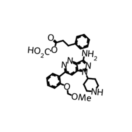 COCOc1ccccc1-c1cc2c(nn1)c(N)nn2C1CCNCC1.O=C(O)OC(=O)CCc1ccccc1